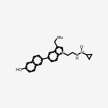 CC(C)(C)Cc1cn(CCN[S@@+]([O-])C2CC2)c2ccc(-c3ccc4cc(O)ccc4c3)cc12